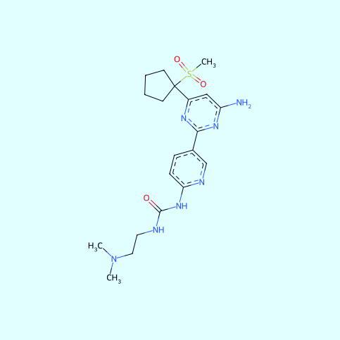 CN(C)CCNC(=O)Nc1ccc(-c2nc(N)cc(C3(S(C)(=O)=O)CCCC3)n2)cn1